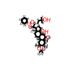 CC(C)(O)CC[C@H]1OB(c2ccccc2)O[C@]1(C)[C@H]1CC[C@@]2(O)C3=CC(=O)[C@@H]4C[C@H]5OC(C)(C)O[C@H]5C[C@]4(C)C3CC[C@]12C